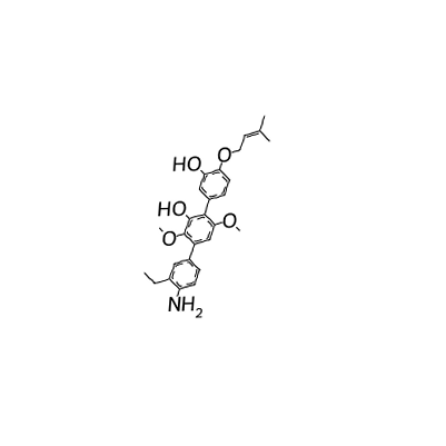 CCc1cc(-c2cc(OC)c(-c3ccc(OCC=C(C)C)c(O)c3)c(O)c2OC)ccc1N